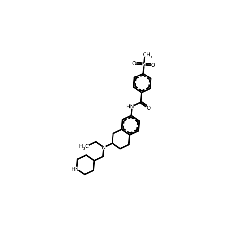 CCN(CC1CCNCC1)C1CCc2ccc(NC(=O)c3ccc(S(C)(=O)=O)cc3)cc2C1